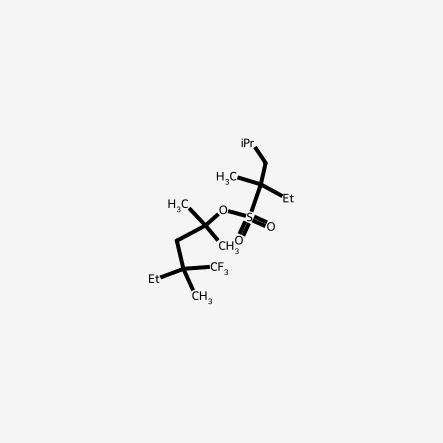 CCC(C)(CC(C)(C)OS(=O)(=O)C(C)(CC)CC(C)C)C(F)(F)F